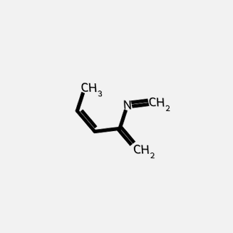 C=NC(=C)/C=C\C